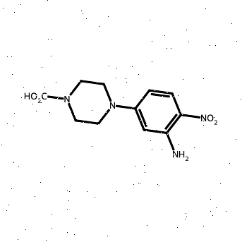 Nc1cc(N2CCN(C(=O)O)CC2)ccc1[N+](=O)[O-]